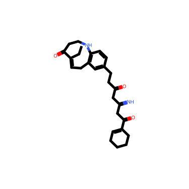 CC/C1=C\Cc2cc(CCC(=O)CC(=N)CC(=O)C3=CCCCC3)ccc2NCCC1=O